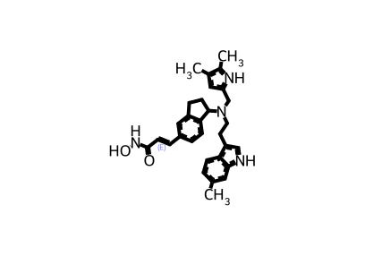 Cc1ccc2c(CCN(Cc3cc(C)c(C)[nH]3)C3CCc4cc(/C=C/C(=O)NO)ccc43)c[nH]c2c1